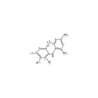 O=[N+]([O-])c1cc([N+](=O)[O-])c(Nc2c(Cl)cc(I)c(Br)c2Br)c(C(F)(F)F)c1